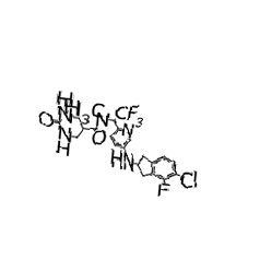 CN(C(=O)C1CNC(=O)NC1)[C@@H](c1ccc(NC2Cc3ccc(Cl)c(F)c3C2)cn1)C(F)(F)F